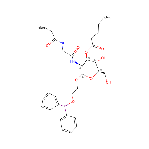 CCCCCCCCCCCCCC(=O)O[C@H]1[C@H](O)[C@@H](CO)O[C@H](OCCOP(c2ccccc2)c2ccccc2)[C@H]1NC(=O)CNC(=O)CCCCCCCCCCC